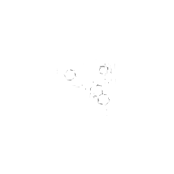 Cc1cc(Nc2nc(NCc3ccc(F)cc3F)nc3cc(C(F)(F)F)ccc23)n[nH]1